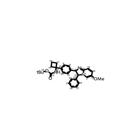 COC1=CN2C(=NC(c3ccc(C4(NC(=O)OC(C)(C)C)CCC4)cc3)C2c2ccccc2)C=C1